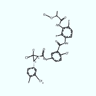 CCOC(C)C(=O)Nc1c(F)ccc(NC(=O)c2cc(NC(=O)[C@H]3[C@H](c4ccc(F)c(C(F)(F)F)c4)C3(Cl)Cl)ccc2Cl)c1F